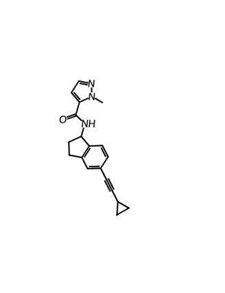 Cn1nccc1C(=O)NC1CCc2cc(C#CC3CC3)ccc21